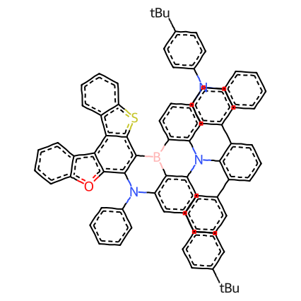 CC(C)(C)c1ccc(-c2cc3c4c(c2)N(c2ccccc2)c2c(c5sc6ccccc6c5c5c2oc2ccccc25)B4c2ccc(N(c4ccccc4)c4ccc(C(C)(C)C)cc4)cc2N3c2c(-c3ccccc3)cccc2-c2ccccc2)cc1